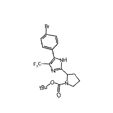 CC(C)(C)OC(=O)N1CCCC1c1nc(C(F)(F)F)c(-c2ccc(Br)cc2)[nH]1